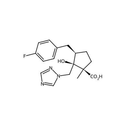 C[C@@]1(C(=O)O)CC[C@H](Cc2ccc(F)cc2)[C@@]1(O)Cn1cncn1